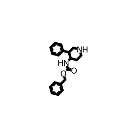 O=C(NC1CCNCC1c1ccccc1)OCc1ccccc1